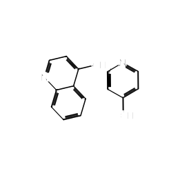 Cc1ccnc2ccccc12.Cc1ccncc1